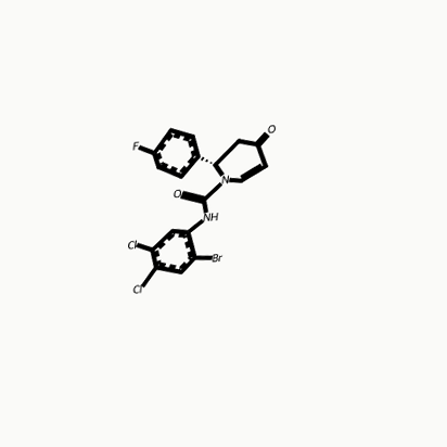 O=C1C=CN(C(=O)Nc2cc(Cl)c(Cl)cc2Br)[C@H](c2ccc(F)cc2)C1